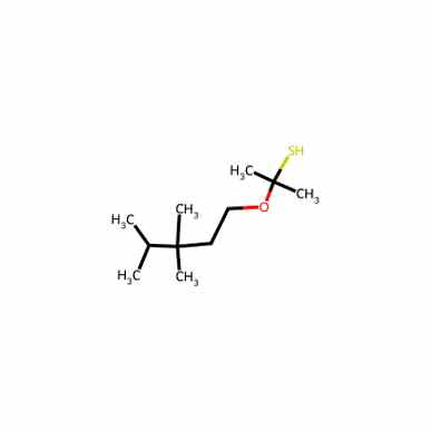 CC(C)C(C)(C)CCOC(C)(C)S